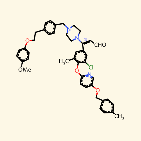 COc1ccc(OCCc2ccc(CN3CCN(/C(=C/C=O)c4cc(C)c(Oc5ccc(OCc6ccc(C)cc6)cn5)c(Cl)c4)CC3)cc2)cc1